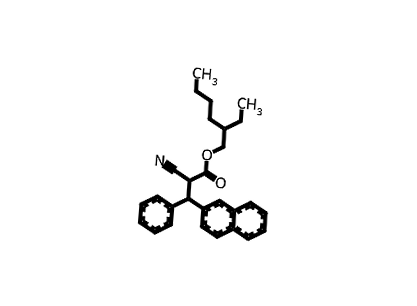 CCCCC(CC)COC(=O)C(C#N)C(c1ccccc1)c1ccc2ccccc2c1